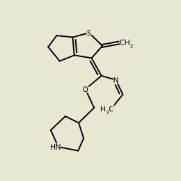 C=c1sc2c(/c1=C(/N=C\C)OCC1CCNCC1)CCC2